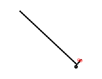 C#CC#CC#CC#CC#CC#CC#CC#CC#CC#CC#CC#CC#CC#CC#CC#CC#CC#CC#CC#CC#CC#CC#CC#CC#CC#CC#CC#CC#CC#CC(CCCC(=O)OC)c1ccccc1